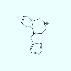 c1ccc(CN2CCNCc3ccccc32)nc1